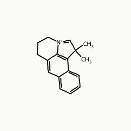 CC1(C)C=[N+]2CCCc3cc4ccccc4c1c32